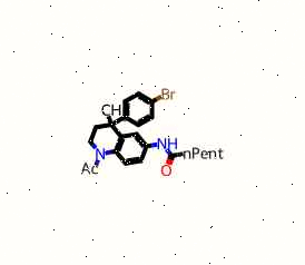 CCCCCC(=O)Nc1ccc2c(c1)C(C)(c1ccc(Br)cc1)CCN2C(C)=O